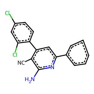 N#Cc1c(-c2ccc(Cl)cc2Cl)cc(-c2ccccc2)nc1N